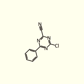 N#Cc1nc(Cl)nc(-c2ccccc2)n1